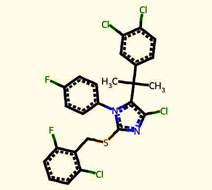 CC(C)(c1ccc(Cl)c(Cl)c1)c1c(Cl)nc(SCc2c(F)cccc2Cl)n1-c1ccc(F)cc1